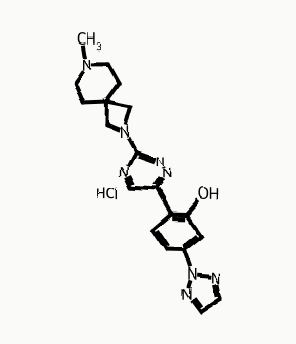 CN1CCC2(CC1)CN(c1ncc(-c3ccc(-n4nccn4)cc3O)nn1)C2.Cl